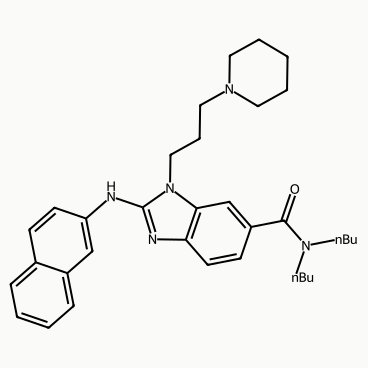 CCCCN(CCCC)C(=O)c1ccc2nc(Nc3ccc4ccccc4c3)n(CCCN3CCCCC3)c2c1